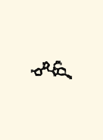 CCn1c(Cc2ccnn2-c2cccc(F)c2)nc2cc(C#N)ccc21